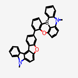 CN1c2ccccc2B2c3cccc(-c4ccc5c(c4)oc4ccc6c(c7ccccc7n6C)c45)c3Oc3cccc1c32